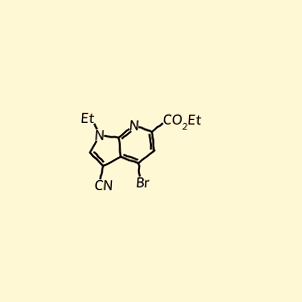 CCOC(=O)c1cc(Br)c2c(C#N)cn(CC)c2n1